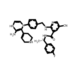 C[C@H](NC(=O)c1cc(C#N)cnc1NCc1ccc(N2C=CNC(N)=C2C2=CCNCC2)cc1)c1ccc(F)cc1